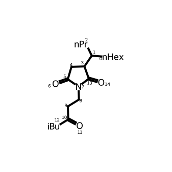 CCCCCCC(CCC)C1CC(=O)N(CCC(=O)C(C)CC)C1=O